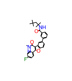 CNC(=O)c1c(-c2ccc(F)cc2)oc2ccc(-c3cccc(C(=O)NC(C)(C)CC(C)(C)C)c3)cc12